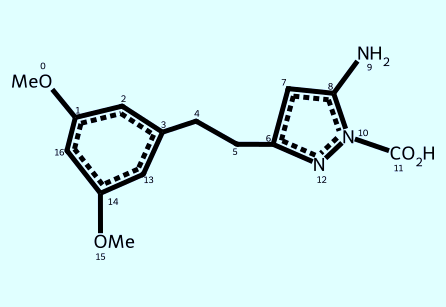 COc1cc(CCc2cc(N)n(C(=O)O)n2)cc(OC)c1